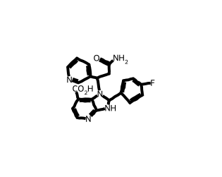 NC(=O)CC(c1cccnc1)N1c2c(C(=O)O)ccnc2NC1c1ccc(F)cc1